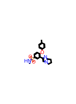 CNS(=O)(=O)c1ccc(Oc2ccc(C)cc2)c(-c2cn3c(n2)CCC3)c1